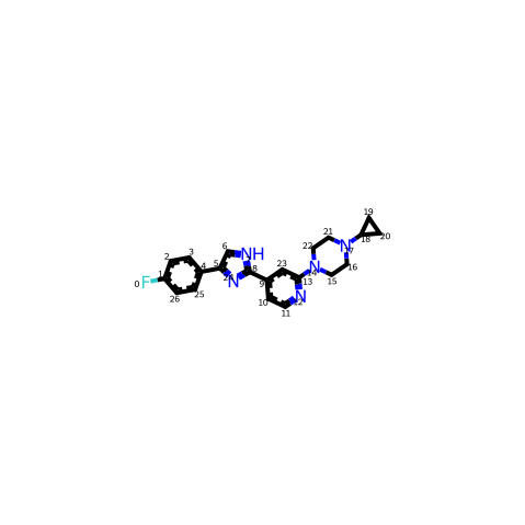 Fc1ccc(-c2c[nH]c(-c3ccnc(N4CCN(C5CC5)CC4)c3)n2)cc1